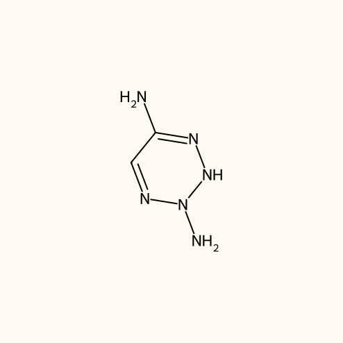 NC1=NNN(N)N=C1